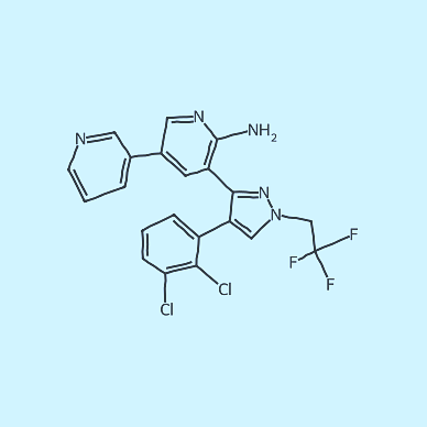 Nc1ncc(-c2cccnc2)cc1-c1nn(CC(F)(F)F)cc1-c1cccc(Cl)c1Cl